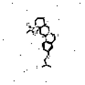 CC(C)COc1ccc2c(c1)CCN1C[C@H]3CCCN(S(C)(=O)=O)[C@H]3C[C@@H]21.Cl